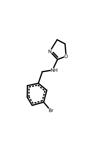 Brc1cccc(CNC2=NCCO2)c1